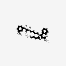 CCCCc1nc2c(N)nc3ccccc3c2n1CCCCNC(=O)Nc1cccc(C)c1